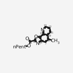 CCCCCOC(=O)c1nc2cc(C)c3cccnc3c2o1